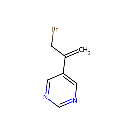 C=C(CBr)c1cncnc1